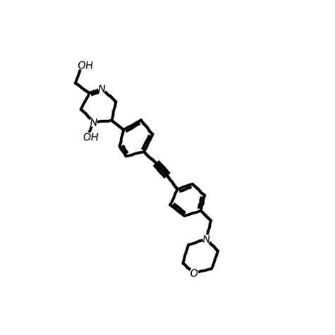 OCC1=NCC(c2ccc(C#Cc3ccc(CN4CCOCC4)cc3)cc2)N(O)C1